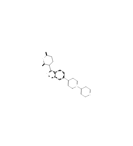 O=C1CCC(c2noc3cc(C4CCN(C5CCNCC5)CC4)ccc23)C(=O)N1